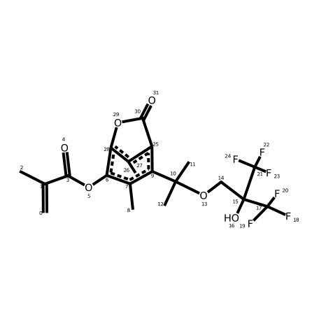 C=C(C)C(=O)Oc1c(C)c(C(C)(C)OCC(O)(C(F)(F)F)C(F)(F)F)c2c(C)c1OC2=O